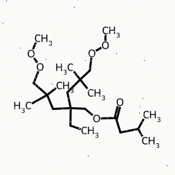 CCC(COC(=O)CC(C)C)(CC(C)(C)COOC)CC(C)(C)COOC